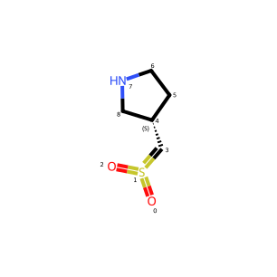 O=S(=O)=C[C@H]1CCNC1